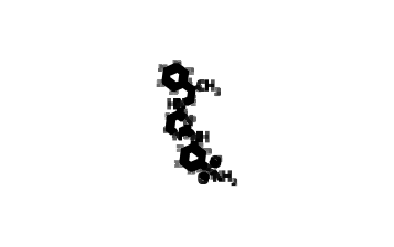 C[C@H](CNc1ccnc(Nc2cccc(S(N)(=O)=O)c2)n1)c1ccccc1